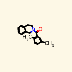 Cc1ccc(C)c(C(=O)N2CCc3ccccc3C2)c1